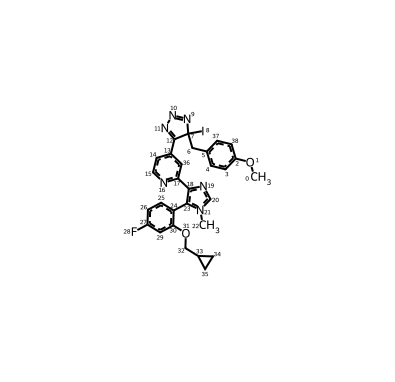 COc1ccc(CC2(I)N=NN=C2c2ccnc(-c3ncn(C)c3-c3ccc(F)cc3OCC3CC3)c2)cc1